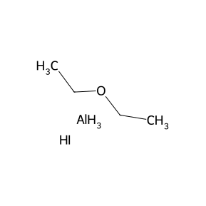 CCOCC.I.[AlH3]